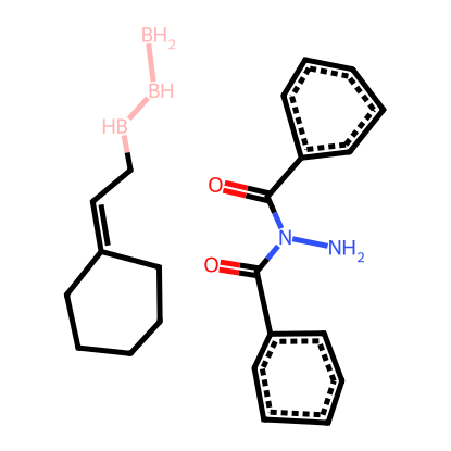 BBBCC=C1CCCCC1.NN(C(=O)c1ccccc1)C(=O)c1ccccc1